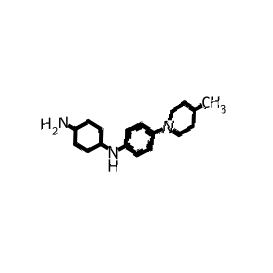 CC1CCN(c2ccc(NC3CCC(N)CC3)cc2)CC1